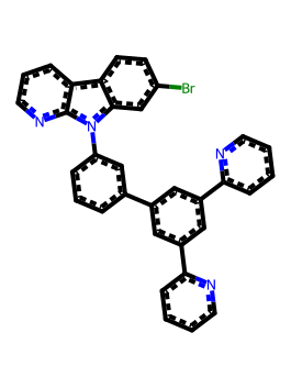 Brc1ccc2c3cccnc3n(-c3cccc(-c4cc(-c5ccccn5)cc(-c5ccccn5)c4)c3)c2c1